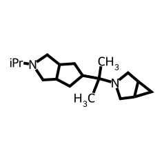 CC(C)N1CC2CC(C(C)(C)N3CC4CC4C3)CC2C1